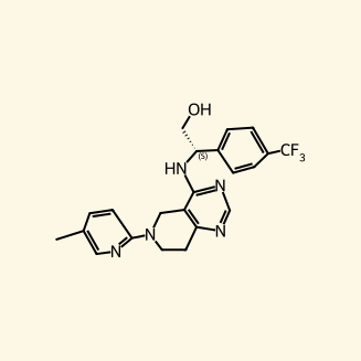 Cc1ccc(N2CCc3ncnc(N[C@H](CO)c4ccc(C(F)(F)F)cc4)c3C2)nc1